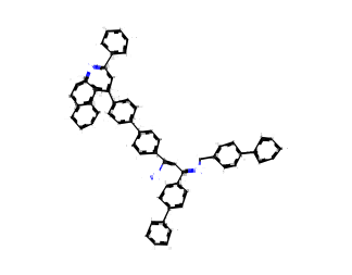 C=N/C(=C\C(=N/Cc1ccc(-c2ccccc2)cc1)c1ccc(-c2ccccc2)cc1)c1ccc(-c2ccc(-c3cc(-c4ccccc4)nc4ccc5ccccc5c34)cc2)cc1